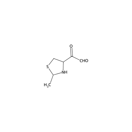 CC1NC(C(=O)C=O)CS1